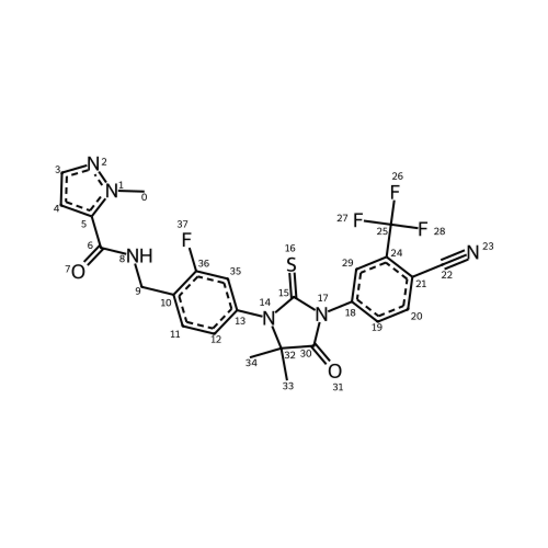 Cn1nccc1C(=O)NCc1ccc(N2C(=S)N(c3ccc(C#N)c(C(F)(F)F)c3)C(=O)C2(C)C)cc1F